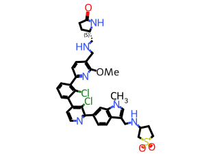 COc1nc(-c2cccc(-c3ccnc(-c4ccc5c(CNC6CCS(=O)(=O)C6)cn(C)c5c4)c3Cl)c2Cl)ccc1CNC[C@@H]1CCC(=O)N1